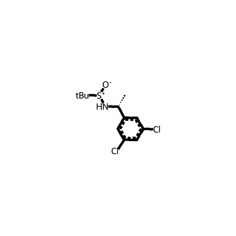 C[C@@H](N[S+]([O-])C(C)(C)C)c1cc(Cl)cc(Cl)c1